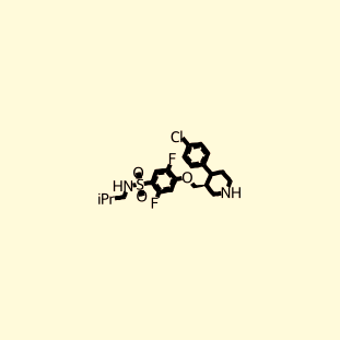 CC(C)CNS(=O)(=O)c1cc(F)c(OC[C@@H]2CNCCC2c2ccc(Cl)cc2)cc1F